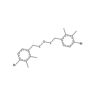 Cc1c(Br)ccc(CSOSCc2ccc(Br)c(C)c2C)c1C